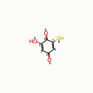 O=C1C=C(O)C(=O)C(S)=C1